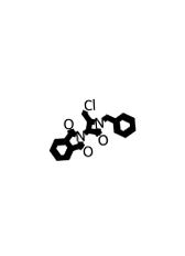 O=C1C(N2C(=O)c3ccccc3C2=O)C(CCl)N1Cc1ccccc1